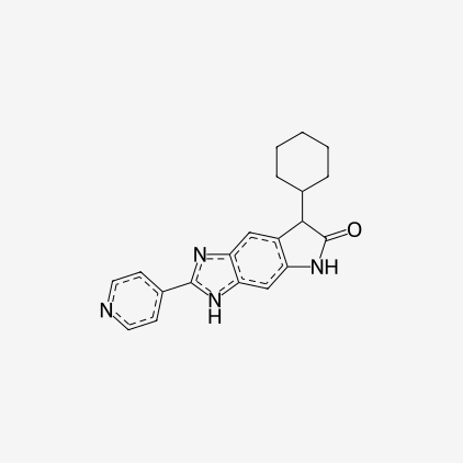 O=C1Nc2cc3[nH]c(-c4ccncc4)nc3cc2C1C1CCCCC1